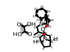 C#CCOC1C[C@H]2CC[C@@H](C1)N2CC(C)Cn1ncc2ccccc21.O=C(O)C(=O)O